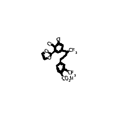 O=C(O)c1ccc(C=CC(c2cc(Cl)c(Cl)c(C3OCCO3)c2)C(F)(F)F)cc1C(F)(F)F